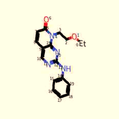 CCOCCn1c(=O)ccc2cnc(Nc3ccccc3)nc21